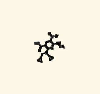 CNc1nc(N(CC2CC2)C2CC2)c(C(=O)O)cc1[N+](=O)[O-]